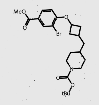 COC(=O)c1ccc(OC2CC(CC3CCN(C(=O)OC(C)(C)C)CC3)C2)c(Br)c1